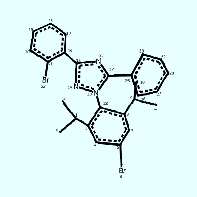 CC(C)c1cc(Br)cc(C(C)C)c1-n1nc(-c2ccccc2Br)nc1-c1ccccc1